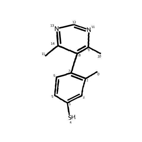 Cc1cc(S)ccc1-c1c(C)ncnc1C